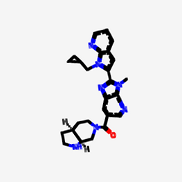 Cn1c(-c2cc3cccnc3n2CC2CC2)nc2cc(C(=O)N3CC[C@@H]4CCN[C@@H]4C3)cnc21